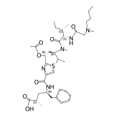 CCCCN(C)CC(=O)N[C@H](C(=O)N(C)[C@H](C[C@@H](OC(C)=O)c1nc(C(=O)N[C@@H](Cc2ccccc2)C[C@H](C)C(=O)O)cs1)C(C)C)[C@@H](C)CC